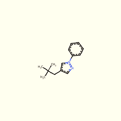 CC(C)(C)Cc1cnn(-c2ccccc2)c1